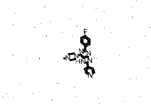 CN1CCN(c2nc(-c3ccc(F)cc3)nc3nc(-c4ccncc4)[nH]c23)CC1